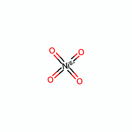 [O]=[Ni-6](=[O])(=[O])=[O]